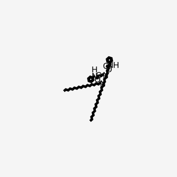 CCCCCCCCCCCCCCCCCCN(CCCCCCCCCCCCCCCCCC)CCCN(CCOC(=O)Nc1ccccc1)CCOC(=O)Nc1ccccc1